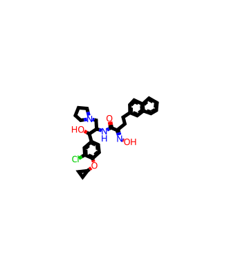 O=C(NC(CN1CCCC1)C(O)c1ccc(OC2CC2)c(Cl)c1)/C(CCc1ccc2ccccc2c1)=N/O